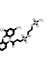 Cc1ccc(Sc2ccccc2NC(=O)CCS(=O)(=O)NCCOS(C)(=O)=O)c(C)c1